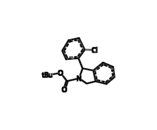 CC(C)(C)OC(=O)N1Cc2ccccc2C1c1ccccc1Cl